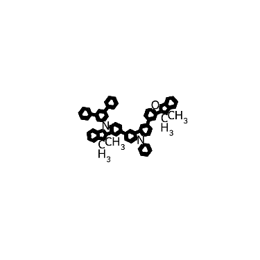 CC1(C)c2ccccc2C2Oc3ccc(-c4ccc5c(c4)c4cc(-c6ccc7c(c6)C6C(c8ccccc8C6(C)C)N7c6cc(-c7ccccc7)cc(-c7ccccc7)c6)ccc4n5-c4ccccc4)cc3C21